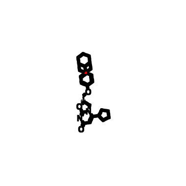 O=c1cc(C2CCCC2)n2c(n1)O[C@H](COc1ccc(C3C4CCCC3CCC4)cc1)C2